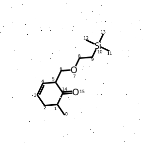 CC1CC=CC(COCC[Si](C)(C)C)C1=O